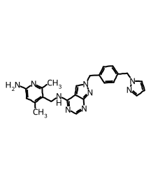 Cc1cc(N)nc(C)c1CNc1ncnc2nn(Cc3ccc(Cn4cccn4)cc3)cc12